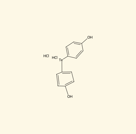 Cl.Cl.Oc1ccc([Te]c2ccc(O)cc2)cc1